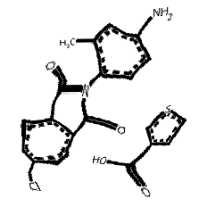 Cc1cc(N)ccc1N1C(=O)c2ccc(Cl)cc2C1=O.O=C(O)c1ccsc1